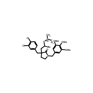 COc1cc(CN2CCC(Cc3ccc(Cl)c(Cl)c3)(CC(O[SiH](C)C)C(C)(C)C)C2=O)cc(OC)c1OC